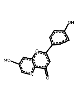 O=c1cc(-c2ccc(O)cc2)oc2cc(O)cnc12